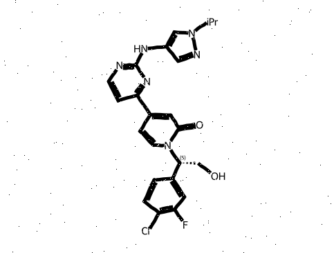 CC(C)n1cc(Nc2nccc(-c3ccn([C@H](CO)c4ccc(Cl)c(F)c4)c(=O)c3)n2)cn1